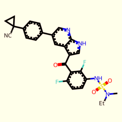 CCN(C)S(=O)(=O)Nc1ccc(F)c(C(=O)c2c[nH]c3ncc(-c4ccc(C5(C#N)CC5)cc4)cc23)c1F